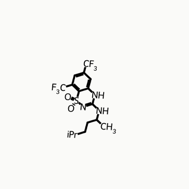 CC(C)CCC(C)NC1=NS(=O)(=O)c2c(cc(C(F)(F)F)cc2C(F)(F)F)N1